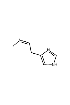 C/N=C\Cc1c[nH]cn1